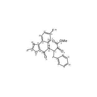 COC(=O)C(=O)C(Cc1ccccc1)NC(=O)c1oc(C)nc1-c1ccc(F)cc1